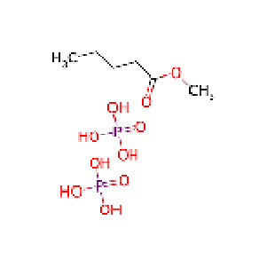 CCCCC(=O)OC.O=P(O)(O)O.O=P(O)(O)O